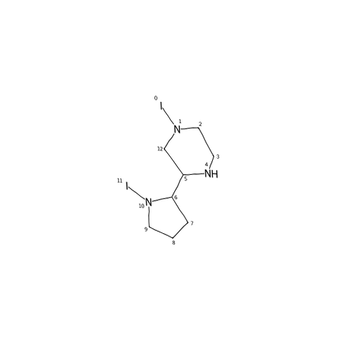 IN1CCNC(C2CCCN2I)C1